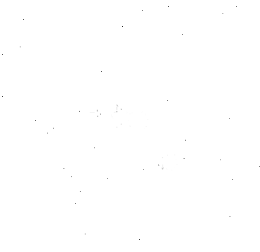 c1csc(COc2ccc3nc(NC4CCCCC4)sc3c2)n1